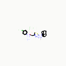 CN1C(=NC23CC4CC(CC(C4)C2)C3)SCC1CC(=O)Nc1ccc(Cl)cc1.Cl